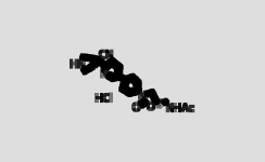 CC(=O)NC[C@H]1CN(c2ccc(-c3ccc(C4(C#N)C5CNCC54)nc3)cc2)C(=O)O1.Cl